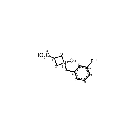 O=C(O)C1C[N+]([O-])(Cc2cc[c]c(F)c2)C1